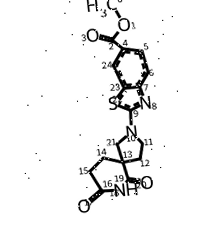 COC(=O)c1ccc2nc(N3CCC4(CCC(=O)NC4=O)C3)sc2c1